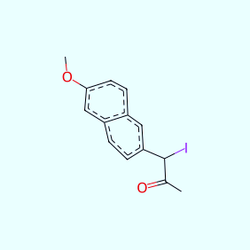 COc1ccc2cc(C(I)C(C)=O)ccc2c1